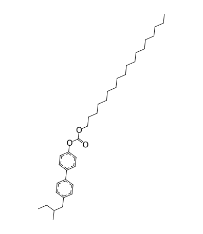 CCCCCCCCCCCCCCCCCCOC(=O)Oc1ccc(-c2ccc(CC(C)CC)cc2)cc1